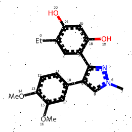 CCc1cc(-c2nn(C)cc2-c2ccc(OC)c(OC)c2)c(O)cc1O